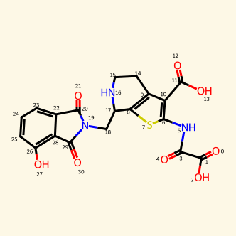 O=C(O)C(=O)Nc1sc2c(c1C(=O)O)CCNC2CN1C(=O)c2cccc(O)c2C1=O